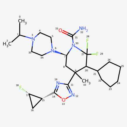 CC(C)N1CCN([C@@H]2CC(C)(c3noc([C@@H]4C[C@@H]4F)n3)C(C3CCCCC3)C(F)(F)N2C(N)=O)CC1